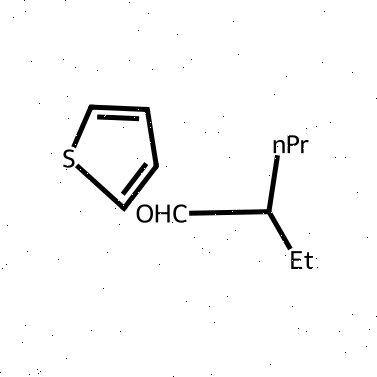 CCCC(C=O)CC.c1ccsc1